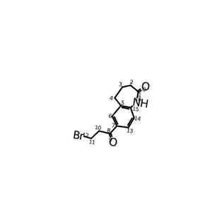 O=C1CCCc2cc(C(=O)CCBr)ccc2N1